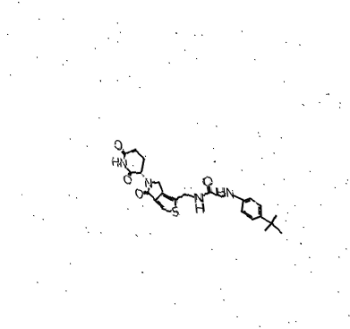 CC(C)(C)c1ccc(NCC(=O)NCc2scc3c2CN([C@H]2CCC(=O)NC2=O)C3=O)cc1